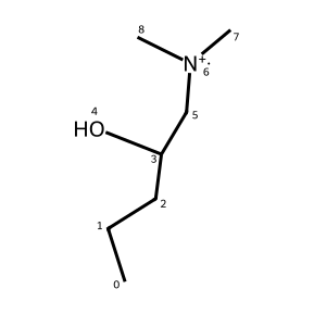 CCCC(O)C[N+](C)C